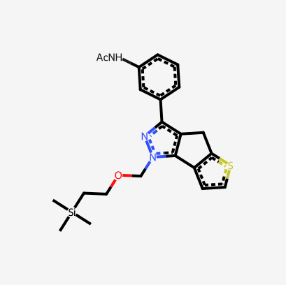 CC(=O)Nc1cccc(-c2nn(COCC[Si](C)(C)C)c3c2Cc2sccc2-3)c1